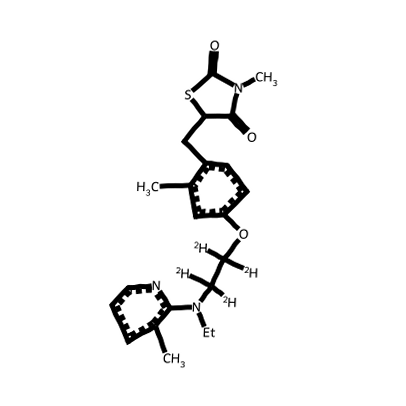 [2H]C([2H])(Oc1ccc(CC2SC(=O)N(C)C2=O)c(C)c1)C([2H])([2H])N(CC)c1ncccc1C